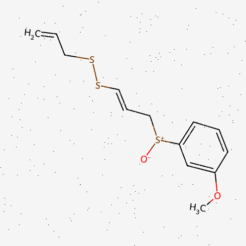 C=CCSSC=CC[S+]([O-])c1cccc(OC)c1